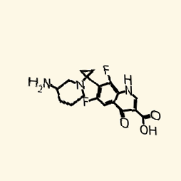 NC1CCCN(C2(c3c(F)cc4c(=O)c(C(=O)O)c[nH]c4c3F)CC2)C1